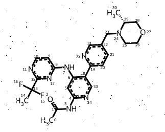 CC(=O)Nc1cc(Nc2ccnc(C(C)(F)F)n2)c(-c2ccc(CN3CCOC[C@H]3C)cn2)cn1